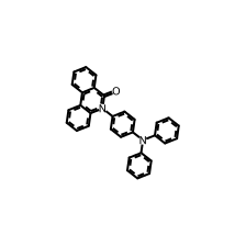 O=c1c2ccccc2c2ccccc2n1-c1ccc(N(c2ccccc2)c2ccccc2)cc1